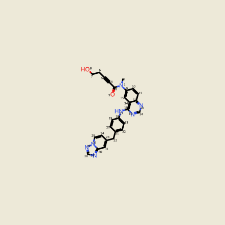 CN(C(=O)C#CCCO)c1ccc2ncnc(Nc3ccc(Cc4ccn5ncnc5c4)cc3)c2c1